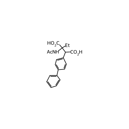 CCC(NC(C)=O)(C(=O)O)C(C(=O)O)c1ccc(-c2ccccc2)cc1